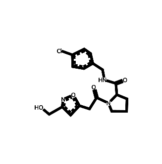 O=C(NCc1ccc(Cl)cc1)C1CCCN1C(=O)Cc1cc(CO)no1